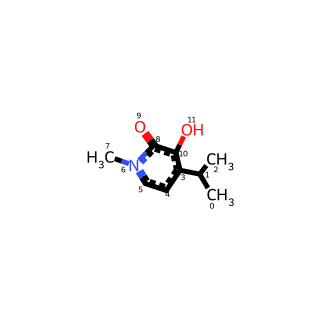 CC(C)c1ccn(C)c(=O)c1O